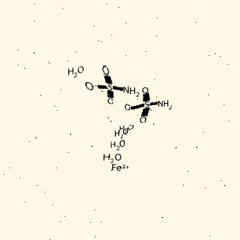 NS(=O)(=O)[O-].NS(=O)(=O)[O-].O.O.O.O.O.[Fe+2]